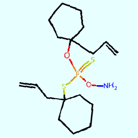 C=CCC1(OP(=S)(ON)SC2(CC=C)CCCCC2)CCCCC1